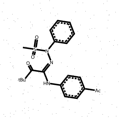 CC(=O)c1ccc(NC(=NN(c2ccccc2)S(C)(=O)=O)C(=O)C(C)(C)C)cc1